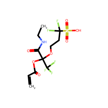 C=CC(=O)OC(OCCC(F)(F)S(=O)(=O)O)(C(=O)NCC)C(F)(F)F